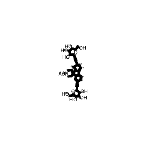 CC(=O)N1CCC2(CC1)c1cc(C#CC3OC(CO)[C@@H](O)C(O)C3O)ccc1-c1ccc(C#CC3OC(CO)[C@@H](O)C(O)[C@@H]3O)cc12